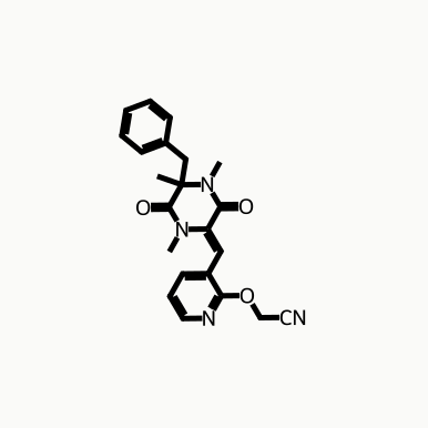 CN1C(=O)C(C)(Cc2ccccc2)N(C)C(=O)C1=Cc1cccnc1OCC#N